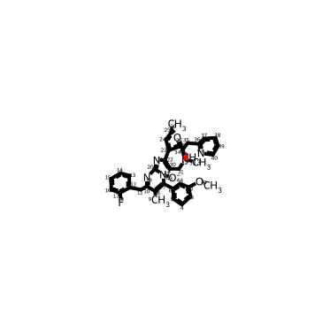 COc1cccc(C2=C(C)C(Cc3ccccc3F)=NC3=NC(c4cc(C)oc4C)=C(CN(C)CCc4ccccn4)[N+]32[O-])c1